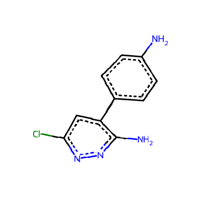 Nc1ccc(-c2cc(Cl)nnc2N)cc1